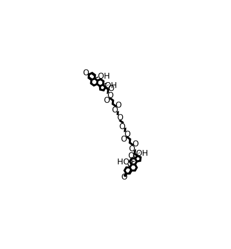 C[C@]12C=CC(=O)C=C1CCC1C2[C@@H](O)C[C@@]2(C)C1CC[C@]2(O)C(=O)COC(=O)CCC(=O)OCCOCCOCCOC(=O)CCC(=O)OCC(=O)[C@@]1(O)CCC2C3CCC4=CC(=O)CC[C@]4(C)[C@@]3(F)[C@@H](O)C[C@@]21C